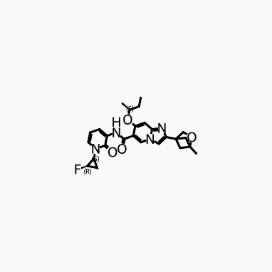 CC[C@H](C)Oc1cc2nc(C34COC(C)(C3)C4)cn2cc1C(=O)Nc1cccn([C@H]2C[C@H]2F)c1=O